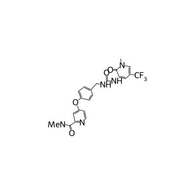 CNC(=O)c1cc(Oc2ccc(CNC(=O)Nc3cc(C(F)(F)F)cn(C)c3=O)cc2)ccn1